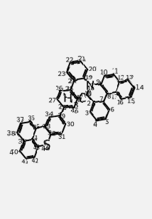 C[C@@H]1c2ccccc2-c2c(ccc3ccccc23)N1c1ccccc1-c1ccc(-c2ccc3c(c2)-c2cccc4cccc(c24)S3)cc1